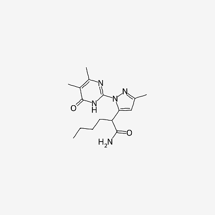 CCCCC(C(N)=O)c1cc(C)nn1-c1nc(C)c(C)c(=O)[nH]1